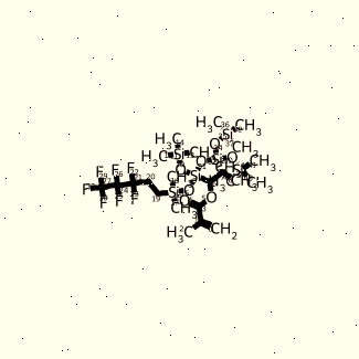 C=C(C)C(=O)OC(CC)[Si](O[Si](C)(C)C)(O[Si](C)(C)CCC(F)(F)C(F)(F)C(F)(F)F)O[Si](C)(O[Si](C)(C)C)O[Si](C)(C)C